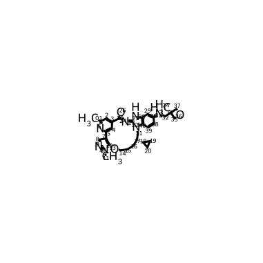 Cc1cc2cc(n1)-c1cnn(C)c1OCCC[C@@H](C1CC1)CN1/C(=N/C2=O)Nc2cc(NCC3(C)COC3)ccc21